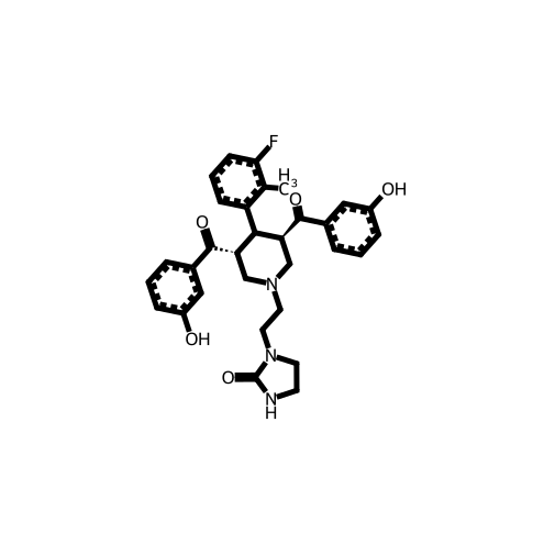 Cc1c(F)cccc1C1[C@@H](C(=O)c2cccc(O)c2)CN(CCN2CCNC2=O)C[C@@H]1C(=O)c1cccc(O)c1